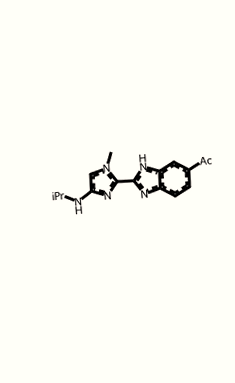 CC(=O)c1ccc2nc(-c3nc(NC(C)C)cn3C)[nH]c2c1